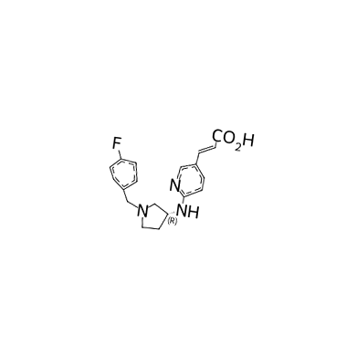 O=C(O)C=Cc1ccc(N[C@@H]2CCN(Cc3ccc(F)cc3)C2)nc1